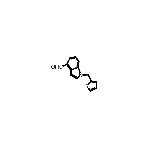 O=Cc1cccc2c1ccn2Cc1cccs1